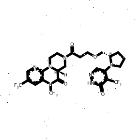 CN1C(=O)[C@H]2CN(C(=O)CCOC[C@@H]3CCCN3c3cn[nH]c(=O)c3C(F)(F)F)CCN2c2ncc(C(F)(F)F)cc21